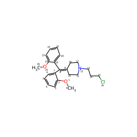 COc1ccccc1C(=C1CCN(CCCCl)CC1)c1ccccc1OC